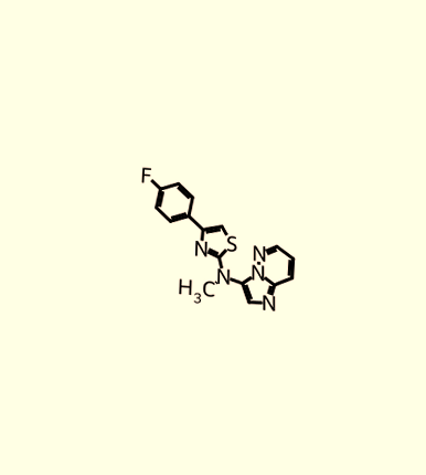 CN(c1nc(-c2ccc(F)cc2)cs1)c1cnc2cccnn12